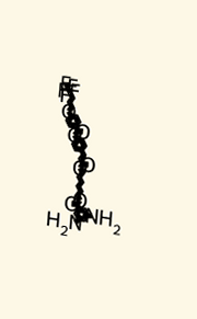 Nc1cc(N)cc(C(=O)OCCCCCCOC(=O)C=Cc2ccc(OC(=O)c3ccc(OCCCC(F)(F)C(F)(F)F)cc3)cc2)c1